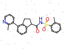 Cc1ccccc1S(=O)(=O)NC(=O)C1CCc2c(-c3cccnc3C)cccc21